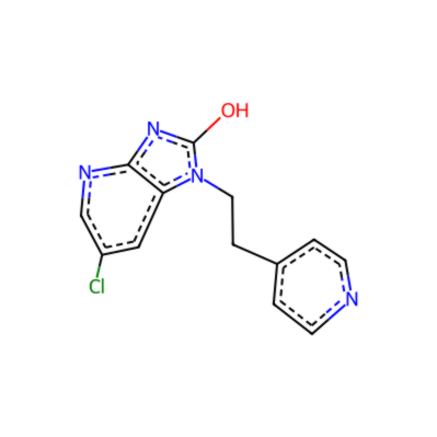 Oc1nc2ncc(Cl)cc2n1CCc1ccncc1